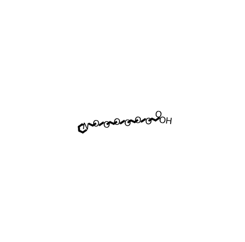 O=C(O)CCOCCOCCOCCOCCOCCOCCN1CCCCC1